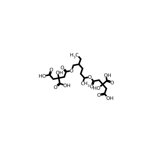 CCC(CCC(C)OC(=O)CC(O)(CC(=O)O)C(=O)O)COC(=O)CC(O)(CC(=O)O)C(=O)O